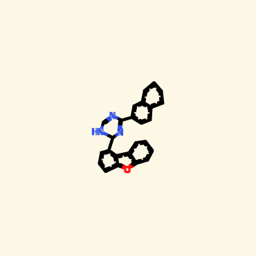 C1=NC(c2ccc3ccccc3c2)=NC(c2cccc3oc4ccccc4c23)N1